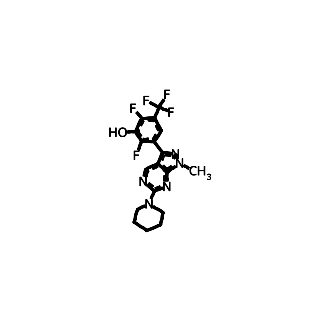 Cn1nc(-c2cc(C(F)(F)F)c(F)c(O)c2F)c2cnc(N3CCCCC3)nc21